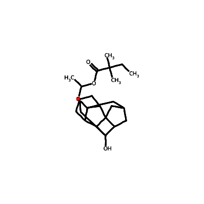 CCC(C)(C)C(=O)OC(C)OC12CC3CC4C5(O)CC6CC1C5C4(C3)C2C6